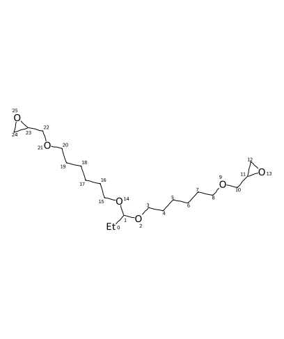 CCC(OCCCCCCOCC1CO1)OCCCCCCOCC1CO1